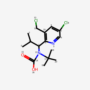 CC(C)C(c1ncc(Cl)cc1CCl)N(C(=O)O)C(C)(C)C